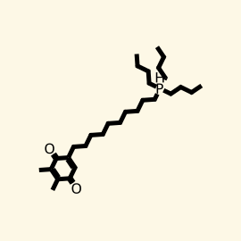 CCCC[PH](CCCC)(CCCC)CCCCCCCCCCC1=CC(=O)C(C)=C(C)C1=O